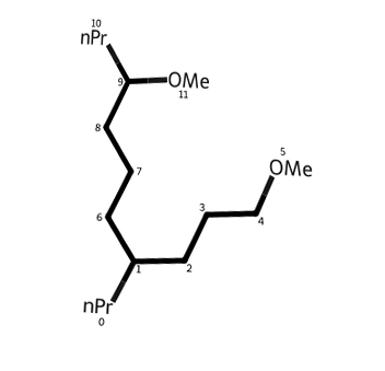 CCCC(CCCOC)CCCC(CCC)OC